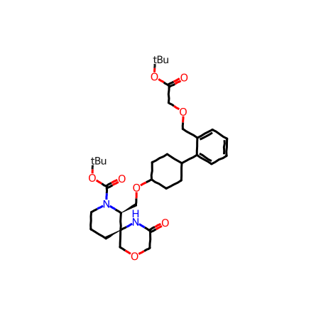 CC(C)(C)OC(=O)COCc1ccccc1C1CCC(OC[C@@H]2N(C(=O)OC(C)(C)C)CCC[C@@]23COCC(=O)N3)CC1